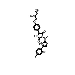 C[C@@H](c1ncc(-c2ccc(I)cc2F)[nH]1)N1C(=O)NC(c2ccc(OCC(O)CO)cc2)C1=O